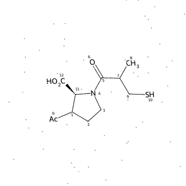 CC(=O)C1CCN(C(=O)C(C)CS)[C@@H]1C(=O)O